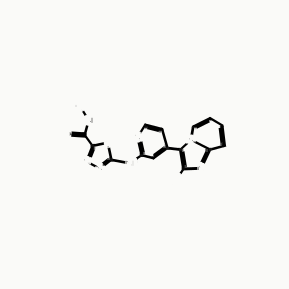 Cc1nc2ccccn2c1-c1ccnc(Nc2nnc(C(=O)NO)s2)c1